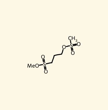 COS(=O)(=O)CCCOS(C)(=O)=O